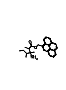 CCC(C)C(C)(N)C(C)C(=O)OCc1cc2cccc3ccc4cccc1c4c32